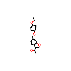 CCOc1ccc(OCc2ccc3c(C(C)=O)coc3c2)cc1